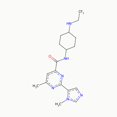 Cc1cc(C(=O)NC2CCC(NCC(F)(F)F)CC2)nc(-c2cncn2C)n1